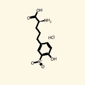 Cl.N[C@@H](CCCc1ccc(O)c([N+](=O)[O-])c1)C(=O)O